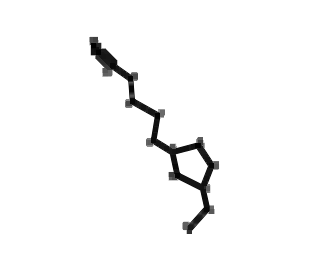 [CH2]CC1C[CH]C(CCCCC#N)C1